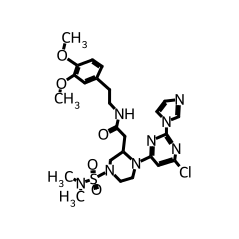 COc1ccc(CCNC(=O)CC2CN(S(=O)(=O)N(C)C)CCN2c2cc(Cl)nc(-n3ccnc3)n2)cc1OC